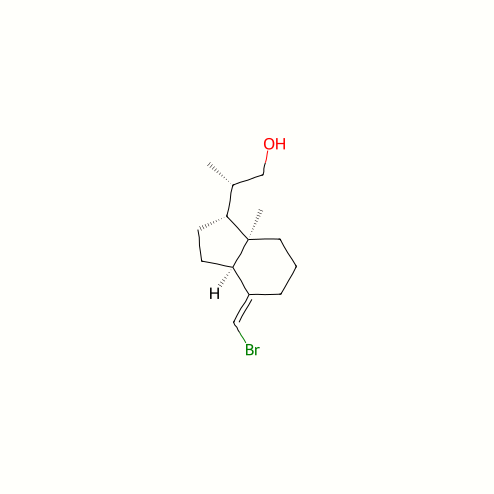 C[C@H](CO)[C@H]1CC[C@@H]2/C(=C/Br)CCC[C@@]21C